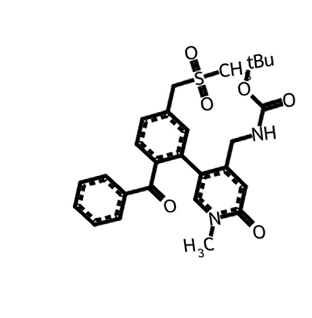 Cn1cc(-c2cc(CS(C)(=O)=O)ccc2C(=O)c2ccccc2)c(CNC(=O)OC(C)(C)C)cc1=O